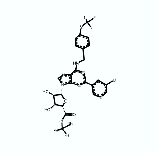 [2H]C([2H])([2H])NC(=O)[C@H]1O[C@@H](n2cnc3c(NCc4ccc(OC(F)(F)F)cc4)nc(-c4cncc(Cl)c4)nc32)[C@H](O)[C@@H]1O